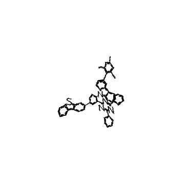 Cc1cc(C)c(-c2ccc3c(c2)c2ccccc2n3-c2ccc(-c3ccc4c(c3)sc3ccccc34)cc2-c2nc(-c3ccccc3)nc(-c3ccccc3)n2)c(C)c1